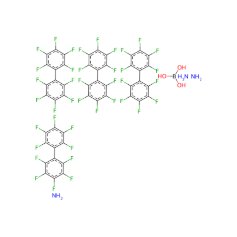 Fc1c(F)c(F)c(-c2c(F)c(F)c(F)c(F)c2F)c(F)c1F.Fc1c(F)c(F)c(-c2c(F)c(F)c(F)c(F)c2F)c(F)c1F.Fc1c(F)c(F)c(-c2c(F)c(F)c(F)c(F)c2F)c(F)c1F.Fc1c(F)c(F)c(-c2c(F)c(F)c(F)c(F)c2F)c(F)c1F.N.N.N.OB(O)O